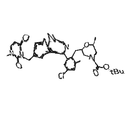 Cc1cc(Cl)cc(-c2ncnn3cc(Cn4c(=O)ccn(C)c4=O)cc23)c1CC1CN(C(=O)OC(C)(C)C)C[C@H](C)O1